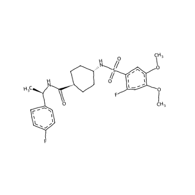 COc1cc(F)c(S(=O)(=O)N[C@H]2CC[C@H](C(=O)N[C@H](C)c3ccc(F)cc3)CC2)cc1OC